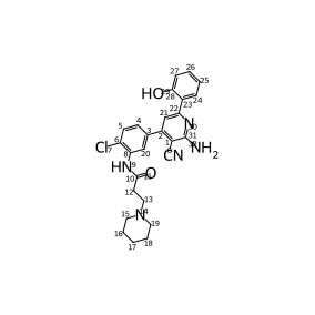 N#Cc1c(-c2ccc(Cl)c(NC(=O)CCN3CCCCC3)c2)cc(-c2ccccc2O)nc1N